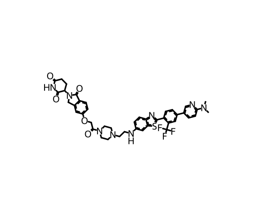 CN(C)c1ccc(-c2ccc(-c3nc4ccc(NCCN5CCN(C(=O)COc6ccc7c(c6)CN(C6CCC(=O)NC6=O)C7=O)CC5)cc4s3)c(C(F)(F)F)c2)cn1